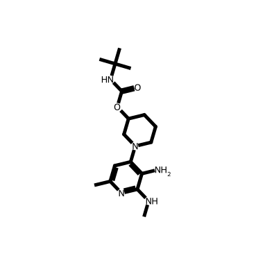 CNc1nc(C)cc(N2CCCC(OC(=O)NC(C)(C)C)C2)c1N